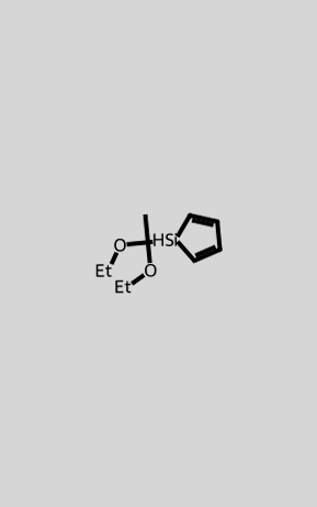 CCOC(C)(OCC)[SiH]1C=CC=C1